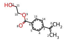 C=C(C)c1ccc(C(=O)OCCO)cc1